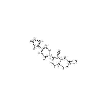 N#CN1CCN2CCN(c3ccc(-n4cccn4)cn3)C(=O)C2C1